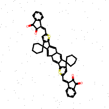 O=C1C(=O)c2ccccc2/C1=C/c1cc2c(s1)C1=CC3C=C4C(=CC3C=C1C21CCCCC1)c1sc(/C=C2\C(=O)C(=O)c3ccccc32)cc1C41CCCCC1